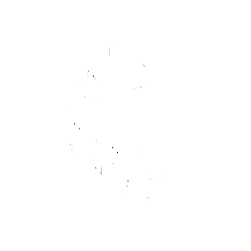 Fc1cc(C(F)(F)F)ccc1-c1cc(Cn2ccc3nc(-c4cccc(Cl)c4F)nc-3c2)on1